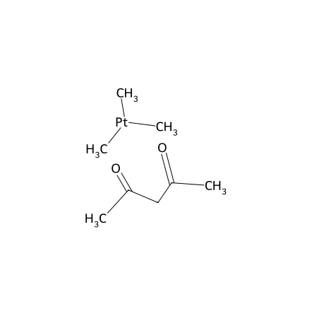 CC(=O)CC(C)=O.[CH3][Pt]([CH3])[CH3]